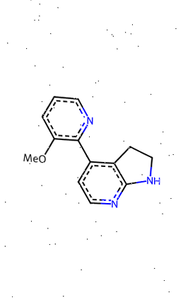 COc1cccnc1-c1ccnc2c1CCN2